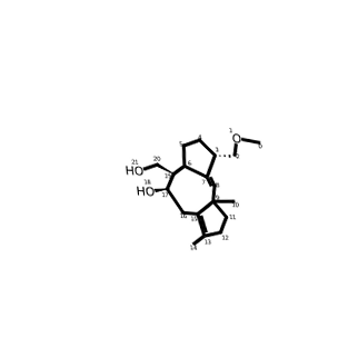 COC[C@H]1CCC2/C1=C\C1(C)CCC(C)=C1C[C@@H](O)[C@H]2CO